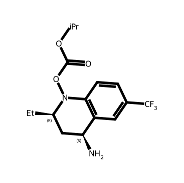 CC[C@@H]1C[C@H](N)c2cc(C(F)(F)F)ccc2N1OC(=O)OC(C)C